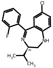 CC(C)[C@@H]1CNc2ccc(Cl)cc2C(c2ccccc2F)=N1